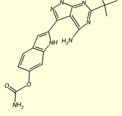 CC(C)(C)c1nc(N)c2c(-c3cc4ccc(OC(N)=O)cc4[nH]3)n[nH]c2n1